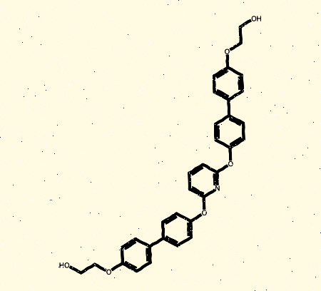 OCCOc1ccc(-c2ccc(Oc3cccc(Oc4ccc(-c5ccc(OCCO)cc5)cc4)n3)cc2)cc1